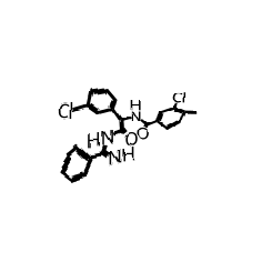 Cc1ccc(C(=O)NC(C(=O)NC(=N)c2ccccc2)c2cccc(Cl)c2)cc1Cl